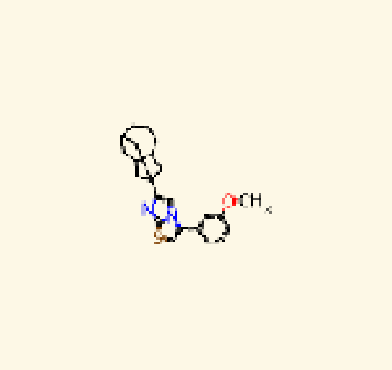 COc1cccc(-c2csc3nc(C45CC6CCCC(C4)C(C6)C5)cn23)c1